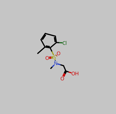 Cc1cccc(Cl)c1S(=O)(=O)N(C)CC(=O)O